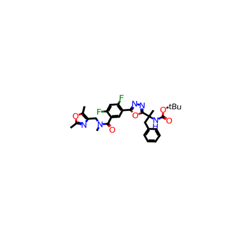 Cc1nc(CN(C)C(=O)c2cc(-c3nnc(C(C)(Cc4ccccc4)NC(=O)OC(C)(C)C)o3)c(F)cc2F)c(C)o1